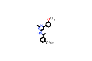 COc1cccc(C(C)Nc2cc(-c3cccc(OC(F)(F)F)c3)nc(C)n2)c1